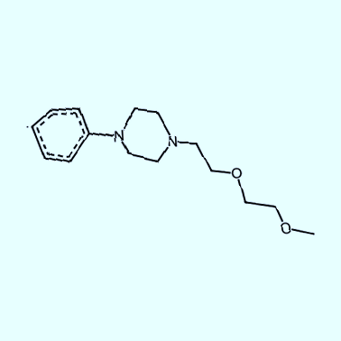 COCCOCCN1CCN(c2cc[c]cc2)CC1